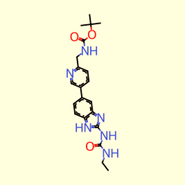 CCNC(=O)Nc1nc2cc(-c3ccc(CNC(=O)OC(C)(C)C)nc3)ccc2[nH]1